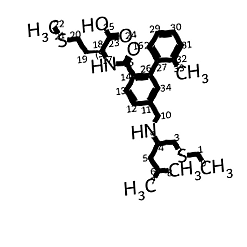 CCSCC(CC(C)C)NCc1ccc(C(=O)N[C@@H](CCSC)C(=O)O)c(-c2ccccc2C)c1